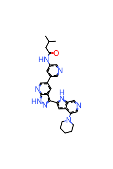 CC(C)CC(=O)Nc1cncc(-c2cnc3[nH]nc(-c4cc5c(N6CCCCC6)cncc5[nH]4)c3c2)c1